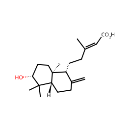 C=C1CC[C@@H]2C(C)(C)[C@H](O)CC[C@@]2(C)[C@@H]1CC/C(C)=C/C(=O)O